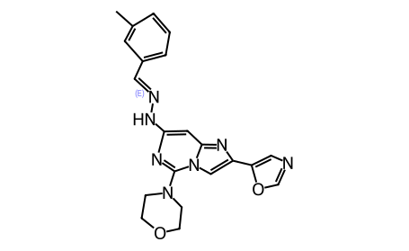 Cc1cccc(/C=N/Nc2cc3nc(-c4cnco4)cn3c(N3CCOCC3)n2)c1